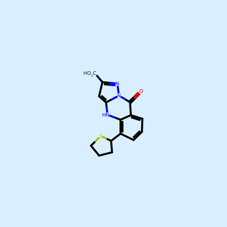 O=C(O)c1cc2[nH]c3c(C4CCCS4)cccc3c(=O)n2n1